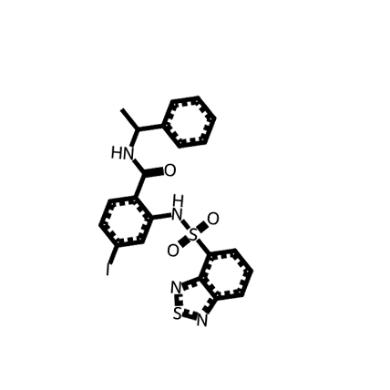 CC(NC(=O)c1ccc(I)cc1NS(=O)(=O)c1cccc2nsnc12)c1ccccc1